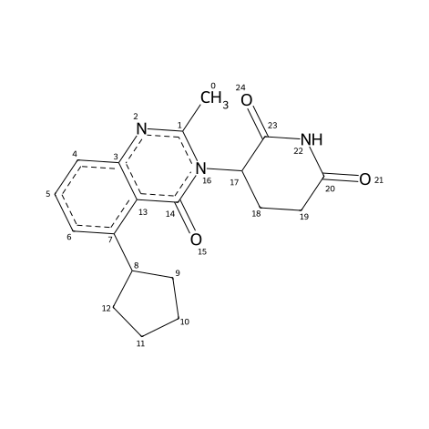 Cc1nc2cccc(C3CCCC3)c2c(=O)n1C1CCC(=O)NC1=O